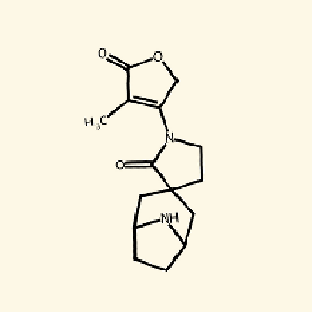 CC1=C(N2CCC3(CC4CCC(C3)N4)C2=O)COC1=O